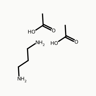 CC(=O)O.CC(=O)O.NCCCN